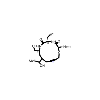 CCCCCCCC1CC/C=C\CC(C(O)NC)C[C@@H](CO)NC(=O)[C@H](CC(C)C)NC1=O